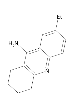 CCc1ccc2nc3c(c(N)c2c1)CCCC3